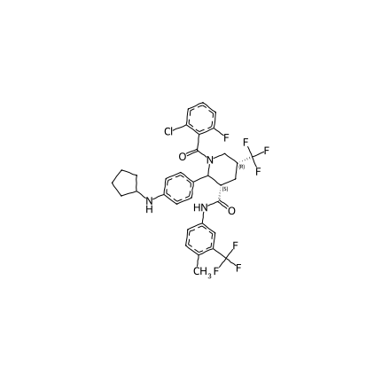 Cc1ccc(NC(=O)[C@H]2C[C@@H](C(F)(F)F)CN(C(=O)c3c(F)cccc3Cl)C2c2ccc(NC3CCCC3)cc2)cc1C(F)(F)F